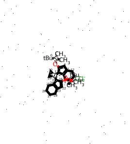 CC(C)(C)[Si](C)(C)OC1=CC2=C(CCCC2)[CH]1[Zr+2]1([CH]2C(O[Si](C)(C)C(C)(C)C)=CC3=C2CCCC3)[CH2][CH2]1.[Cl-].[Cl-]